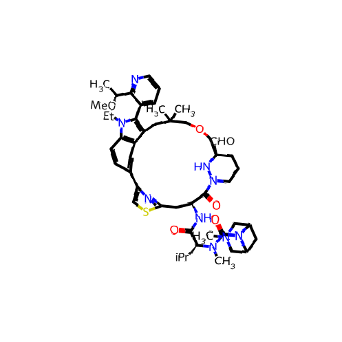 CCn1c(-c2cccnc2[C@H](C)OC)c2c3cc(ccc31)-c1csc(n1)C[C@H](NC(=O)[C@H](C(C)C)N(C)C(=O)N1C3CC1CN(C)C3)C(=O)N1CCCC(C=O)(COCC(C)(C)C2)N1